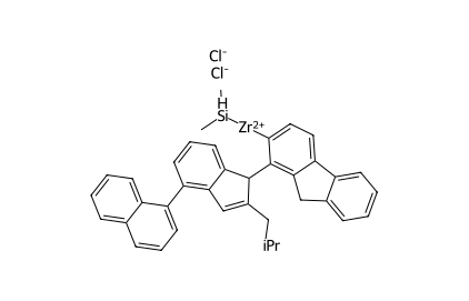 CC(C)CC1=Cc2c(-c3cccc4ccccc34)cccc2C1c1[c]([Zr+2][SiH](C)C)ccc2c1Cc1ccccc1-2.[Cl-].[Cl-]